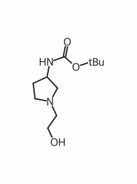 CC(C)(C)OC(=O)NC1CCN(CCO)C1